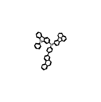 c1ccc(-n2c3ccccc3c3ccc(N(c4ccc(-c5ccc6c(ccc7ccccc76)c5)cc4)c4ccc5c(c4)-c4cccc6cccc-5c46)cc32)cc1